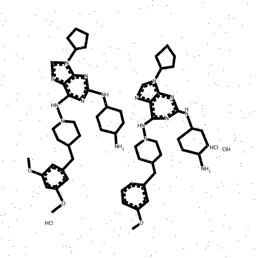 COc1cc(CC2CCN(Nc3nc(NC4CCC(N)CC4)nc4c3ncn4C3CCCC3)CC2)cc(OC)c1.COc1cccc(CC2CCN(Nc3nc(NC4CCC(N)CC4)nc4c3ncn4C3CCCC3)CC2)c1.Cl.Cl.Cl